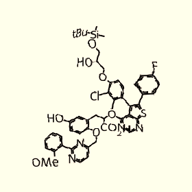 COc1ccccc1-c1nccc(COc2ccc(O)cc2CC(Oc2ncnc3sc(-c4ccc(F)cc4)c(-c4ccc(OC[C@H](O)CO[Si](C)(C)C(C)(C)C)c(Cl)c4C)c23)C(=O)O)n1